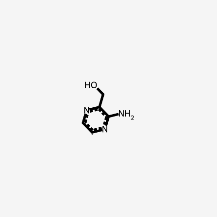 Nc1n[c]cnc1CO